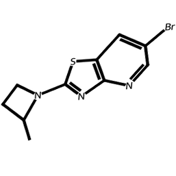 CC1CCN1c1nc2ncc(Br)cc2s1